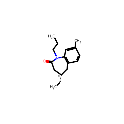 CCCN1C(=O)C[C@@H](CC)Cc2ccc(C)cc21